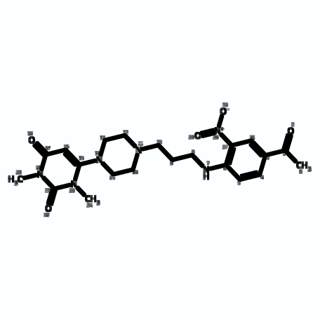 CC(=O)c1ccc(NCCCN2CCN(c3cc(=O)n(C)c(=O)n3C)CC2)c([N+](=O)[O-])c1